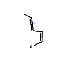 C/C=C/C=[C]\CCC